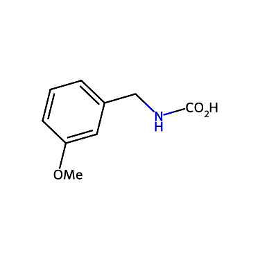 COc1cccc(CNC(=O)O)c1